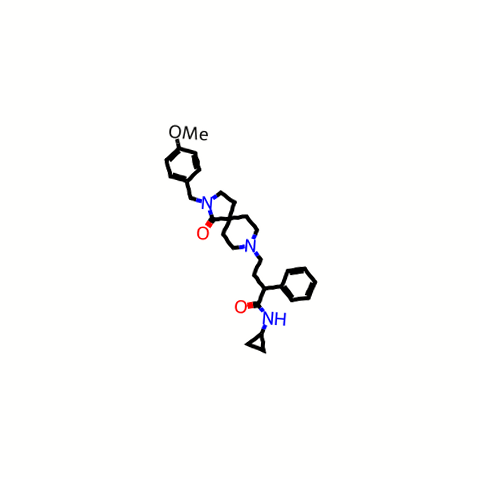 COc1ccc(CN2CCC3(CCN(CCC(C(=O)NC4CC4)c4ccccc4)CC3)C2=O)cc1